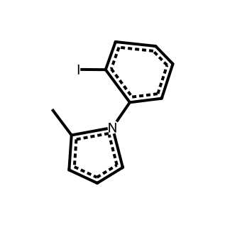 Cc1cccn1-c1ccccc1I